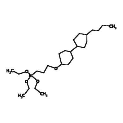 CCCCC1CCC(C2CCC(OCCC[Si](OCC)(OCC)OCC)CC2)CC1